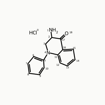 Cl.NC1CN(c2ccccc2)c2ccccc2C1=O